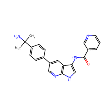 CC(C)(N)c1ccc(-c2cnc3[nH]cc(NC(=O)c4cccnc4)c3c2)cc1